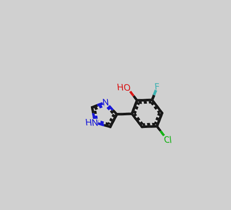 Oc1c(F)cc(Cl)cc1-c1c[nH]cn1